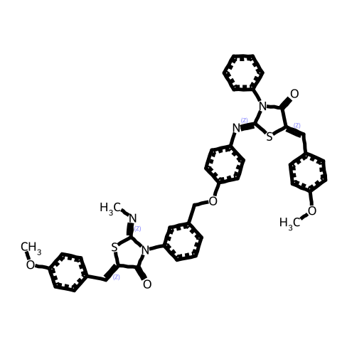 C/N=C1\S/C(=C\c2ccc(OC)cc2)C(=O)N1c1cccc(COc2ccc(/N=C3\S/C(=C\c4ccc(OC)cc4)C(=O)N3c3ccccc3)cc2)c1